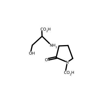 NC(CO)C(=O)O.O=C(O)N1CCCC1=O